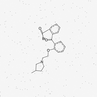 CC1CCN(CCOc2ccccc2C(=O)c2ccccc2C(=O)Br)C1